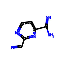 [N]=Cc1nccc(C(=N)N)n1